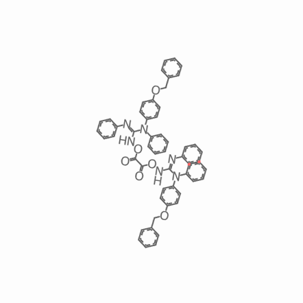 O=C(ONC(=Nc1ccccc1)N(c1ccccc1)c1ccc(OCc2ccccc2)cc1)C(=O)ONC(=Nc1ccccc1)N(c1ccccc1)c1ccc(OCc2ccccc2)cc1